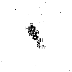 CCCOCCNc1ccc2c(c1)C(=O)N(C1CCC(=O)NC1=O)C2=O